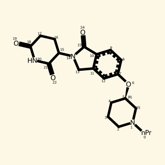 CCCN1CCC[C@@H](Oc2ccc3c(c2)CN(C2CCC(=O)NC2=O)C3=O)C1